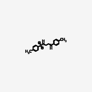 Cc1ccc(NCCNS(=O)(=O)c2ccc(C)cc2)cc1